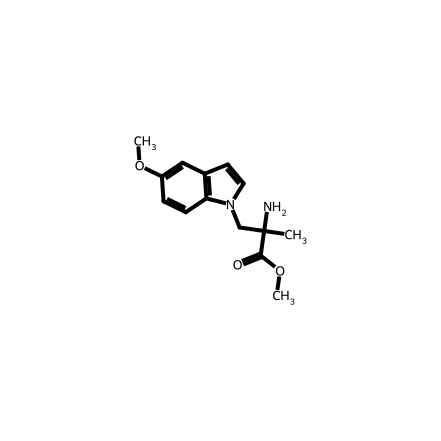 COC(=O)C(C)(N)Cn1ccc2cc(OC)ccc21